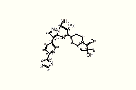 CC(=O)c1c(C2CCN(C(=O)C(C)(C)O)CC2)nc2c(-c3ccc(-c4nccs4)nc3)cnn2c1N